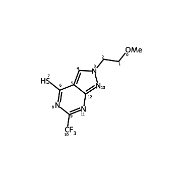 COCCn1cc2c(S)nc(C(F)(F)F)nc2n1